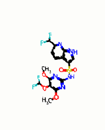 COc1nc(NS(=O)(=O)c2c[nH]c3nc(C(F)F)ccc23)nc(OC)c1OC(F)F